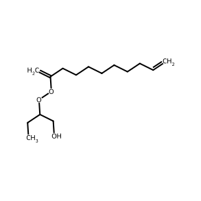 C=CCCCCCCCC(=C)OOC(CC)CO